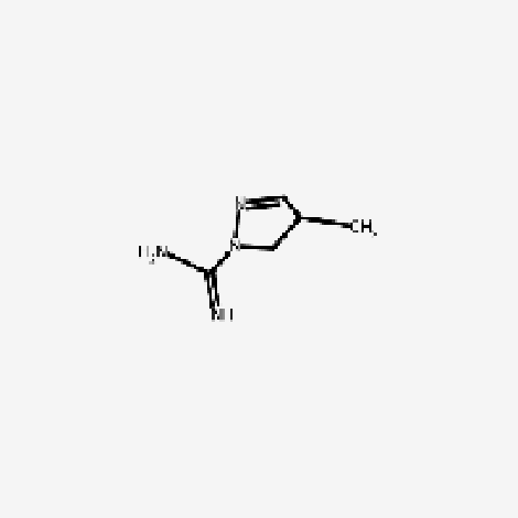 CC1C=NN(C(=N)N)C1